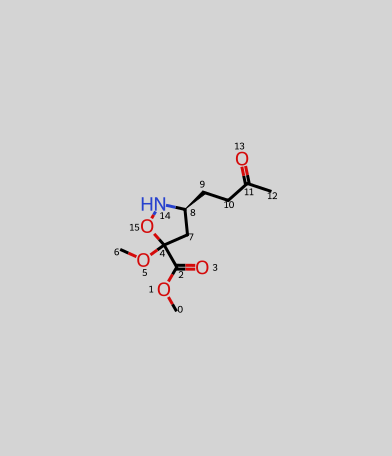 COC(=O)C1(OC)C[C@H](CCC(C)=O)NO1